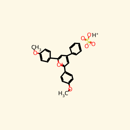 COc1ccc(-c2cc(-c3ccccc3)cc(-c3ccc(OC)cc3)[o+]2)cc1.O=S(=O)([O-])[O-].[H+]